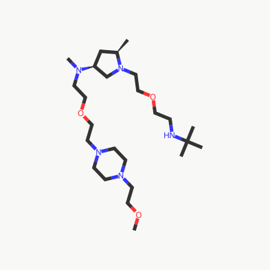 COCCN1CCN(CCOCCN(C)[C@H]2C[C@@H](C)N(CCOCCNC(C)(C)C)C2)CC1